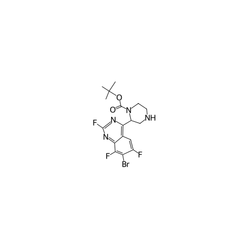 CC(C)(C)OC(=O)N1CCNCC1c1nc(F)nc2c(F)c(Br)c(F)cc12